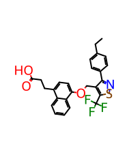 CCc1ccc(-c2nsc(C(F)(F)F)c2COc2ccc(CCC(=O)O)c3ccccc23)cc1